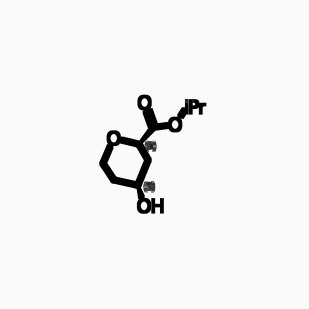 CC(C)OC(=O)[C@H]1C[C@@H](O)CCO1